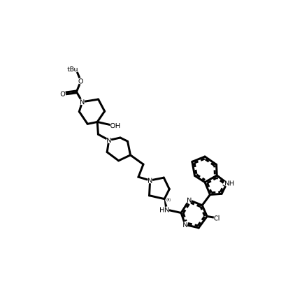 CC(C)(C)OC(=O)N1CCC(O)(CN2CCC(CCN3CC[C@@H](Nc4ncc(Cl)c(-c5c[nH]c6ccccc56)n4)C3)CC2)CC1